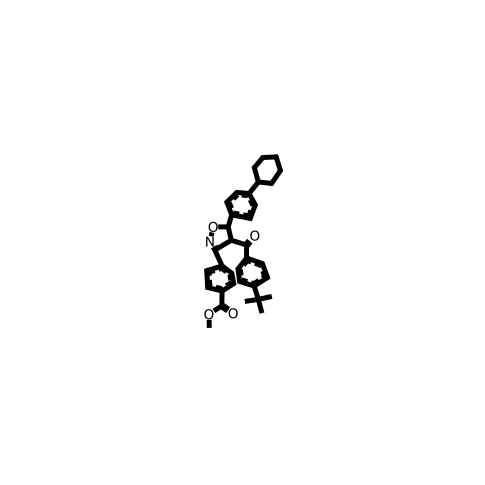 COC(=O)c1ccc(C2=NOC(c3ccc(C4CCCCC4)cc3)C2C(=O)c2ccc(C(C)(C)C)cc2)cc1